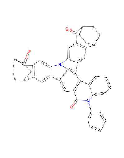 O=C1c2cc3c(cc2C2CCC1CC2)c1cc2c(=O)n(-c4ccccc4)c4ccccc4c2c2c4cc5c(cc4n3c12)C(=O)C1CCC5CC1